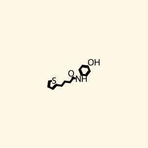 O=C(CCCc1cccs1)Nc1ccc(O)cc1